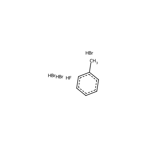 Br.Br.Br.Cc1ccccc1.F